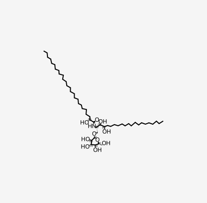 CCCCCCCCCCCCCCCCCCCCCCCC[C@@H](O)C(=O)N[C@@H](CO[C@@H]1O[C@H](CO)[C@@H](O)[C@H](O)[C@H]1O)[C@H](O)[C@H](O)CCCCCCCCCCCCCCCCC